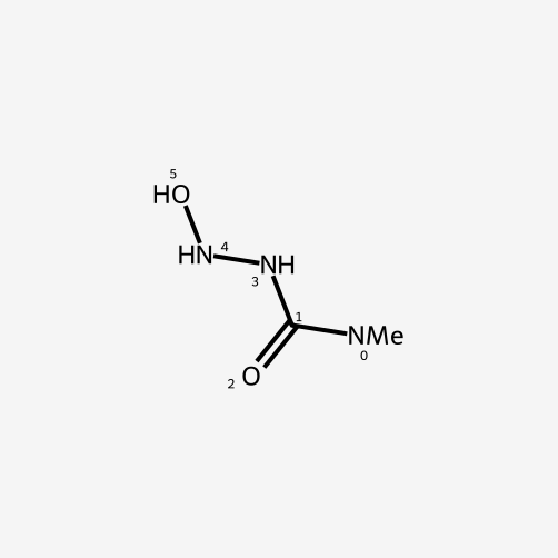 CNC(=O)NNO